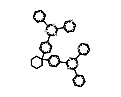 c1ccc(-c2nc(-c3ccc(C4(c5ccc(-c6nc(-c7ccccc7)nc(-c7ccccn7)n6)cc5)CCCCC4)cc3)nc(-c3cccnc3)n2)cc1